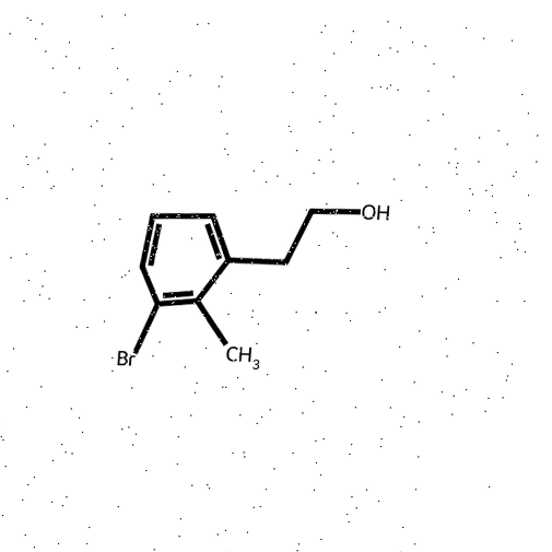 Cc1c(Br)cccc1CCO